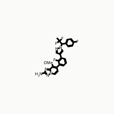 COc1c(-c2cccc(-c3cnn(C(c4ccc(F)cc4)C(C)(F)F)c3)c2F)ccn2nc(N)nc12